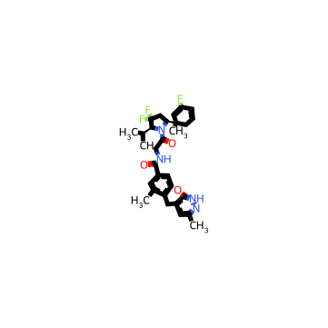 Cc1cc(Cc2ccc(C(=O)NCC(=O)N3[C@@H](C(C)C)C(F)(F)C[C@H]3C3(C)C=C(F)C=CC3)cc2C)c(=O)[nH]n1